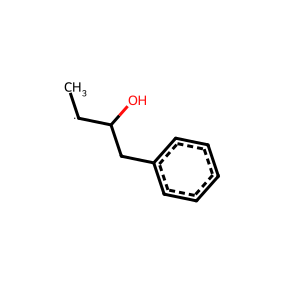 C[CH]C(O)Cc1ccccc1